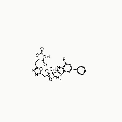 CC(C)(c1nc2c(F)cc(-c3ccccc3)cc2s1)S(=O)(=O)Cc1nnc(CC2SC(=O)NC2=O)o1